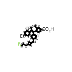 CCc1ccc(C2=C(c3ccc(C=C4CC(CCCF)C4)cc3)c3ccc(C(=O)O)cc3CCC2)c(C(F)(F)F)c1